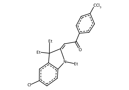 CCN1C(=CC(=O)c2ccc(C(Cl)(Cl)Cl)cc2)C(CC)(CC)c2cc(Cl)ccc21